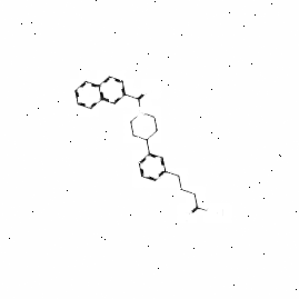 O=C(O)CCCc1cccc(C2CCN(C(=O)c3ccc4ccccc4c3)CC2)c1